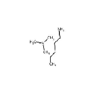 CCCCCN.CN(C)C